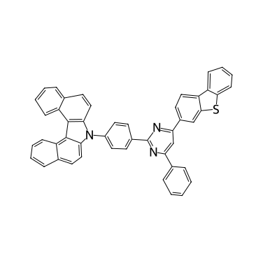 c1ccc(-c2cc(-c3ccc4c(c3)sc3ccccc34)nc(-c3ccc(-n4c5ccc6ccccc6c5c5c6ccccc6ccc54)cc3)n2)cc1